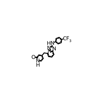 O=c1cc(Cc2cccc3nc(Nc4ccc(C(F)(F)F)cc4)nn23)cc[nH]1